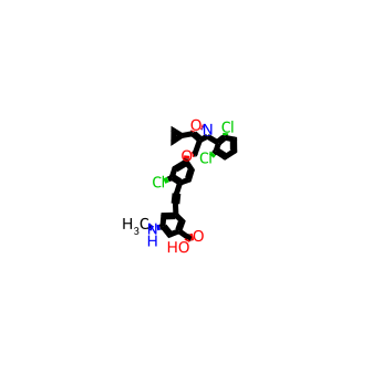 CNc1cc(C#Cc2ccc(OCc3c(-c4c(Cl)cccc4Cl)noc3C3CC3)cc2Cl)cc(C(=O)O)c1